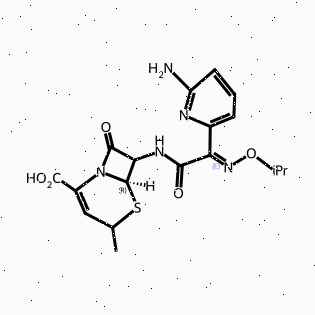 CC(C)O/N=C(/C(=O)NC1C(=O)N2C(C(=O)O)=CC(C)S[C@H]12)c1cccc(N)n1